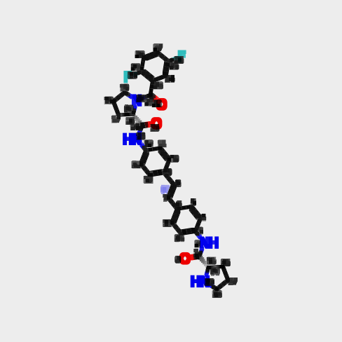 O=C(Nc1ccc(/C=C/c2ccc(NC(=O)[C@@H]3CCCN3C(=O)c3cc(F)ccc3F)cc2)cc1)[C@@H]1CCCN1